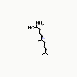 CC(C)=CCC/C(C)=C/CCC(N)O